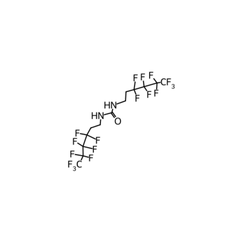 O=C(NCCC(F)(F)C(F)(F)C(F)(F)C(F)(F)F)NCCC(F)(F)C(F)(F)C(F)(F)C(F)(F)F